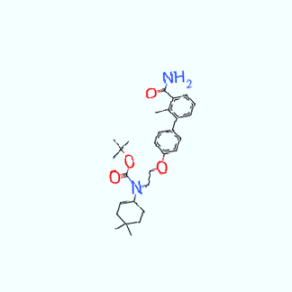 Cc1c(C(N)=O)cccc1-c1ccc(OCCN(C(=O)OC(C)(C)C)C2CCC(C)(C)CC2)cc1